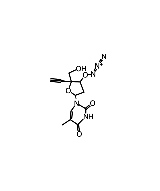 C#C[C@]1(CO)O[C@@H](n2cc(C)c(=O)[nH]c2=O)CC1ON=[N+]=[N-]